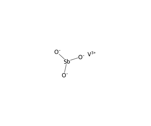 [O-][Sb]([O-])[O-].[V+3]